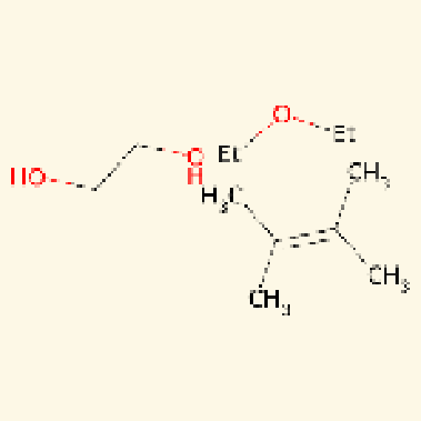 CC(C)=C(C)C.CCOCC.OCCO